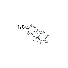 B=c1ccc2c(c1)C=c1ccccc1=2